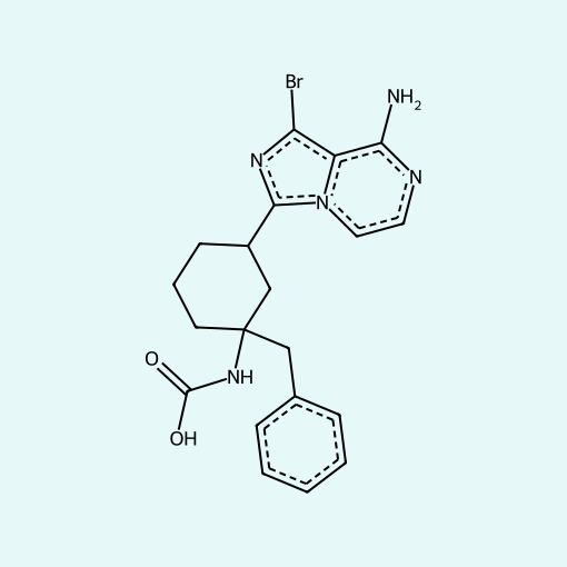 Nc1nccn2c(C3CCCC(Cc4ccccc4)(NC(=O)O)C3)nc(Br)c12